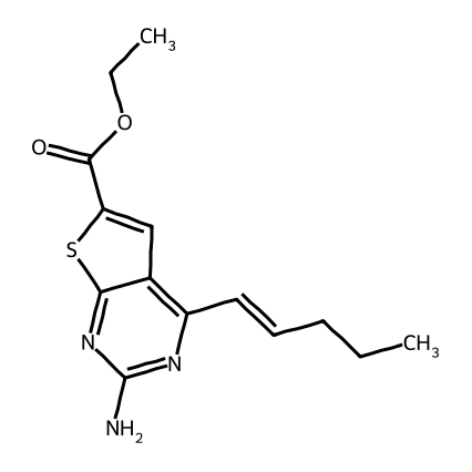 CCC/C=C/c1nc(N)nc2sc(C(=O)OCC)cc12